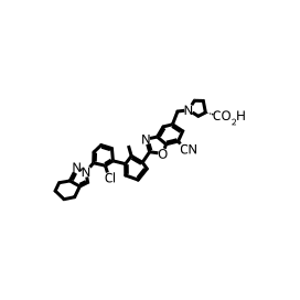 Cc1c(-c2nc3cc(CN4CC[C@H](C(=O)O)C4)cc(C#N)c3o2)cccc1-c1cccc(-n2cc3c(n2)CCCC3)c1Cl